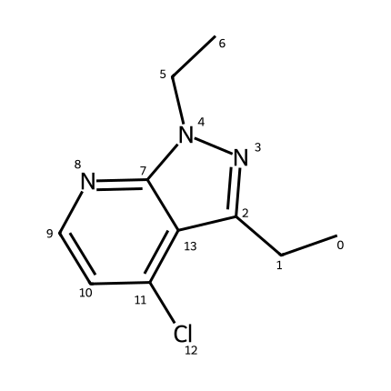 CCc1nn(CC)c2nccc(Cl)c12